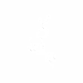 C=CC(=O)N1CCC(c2nc(-c3cnn(C)c3)cn3ncc(C)c23)CC1